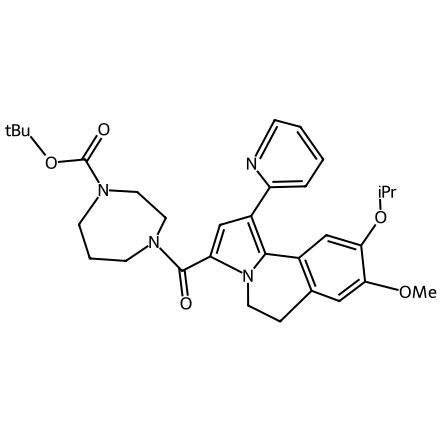 COc1cc2c(cc1OC(C)C)-c1c(-c3ccccn3)cc(C(=O)N3CCCN(C(=O)OC(C)(C)C)CC3)n1CC2